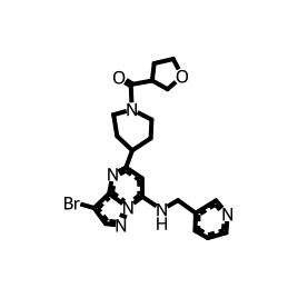 O=C(C1CCOC1)N1CCC(c2cc(NCc3cccnc3)n3ncc(Br)c3n2)CC1